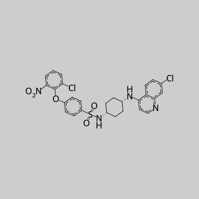 O=[N+]([O-])c1cccc(Cl)c1Oc1ccc(S(=O)(=O)N[C@H]2CC[C@@H](Nc3ccnc4cc(Cl)ccc34)CC2)cc1